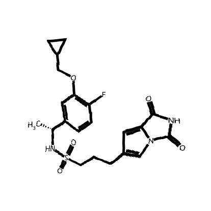 C[C@@H](NS(=O)(=O)CCCc1cc2n(c1)C(=O)NC2=O)c1ccc(F)c(OCC2CC2)c1